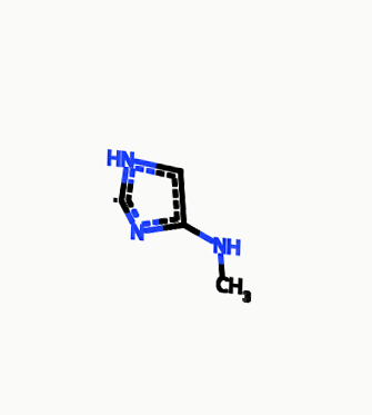 CNc1c[nH][c]n1